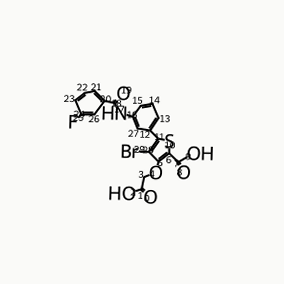 O=C(O)COc1c(C(=O)O)sc(-c2cccc(NC(=O)c3cccc(F)c3)c2)c1Br